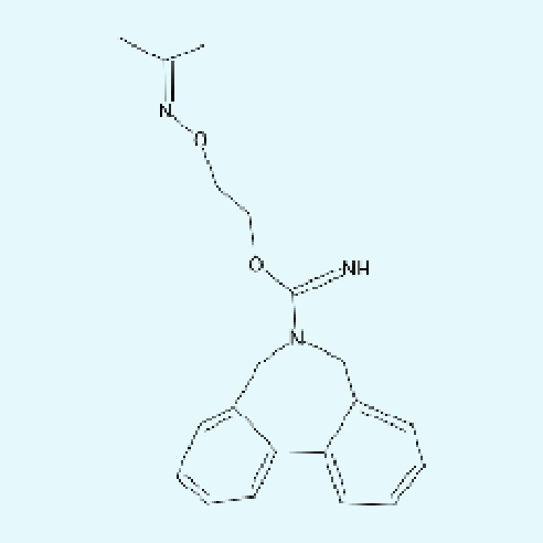 CC(C)=NOCCOC(=N)N1Cc2ccccc2-c2ccccc2C1